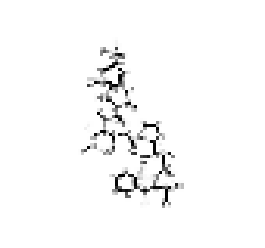 CC[C@H](C)[C@@H]([C@@H](CC(=O)N1CCC[C@H]1[C@H](OC)[C@@H](C)C(=O)NC(C(=O)O)C(C)c1ccccc1)OC)N(C)C(=O)[C@@H](Nc1ncc(C(F)(F)F)cc1Cl)C(C)C